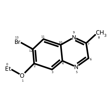 CCOc1cc2ncc(C)nc2cc1Br